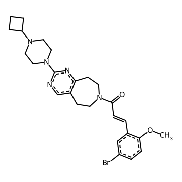 COc1ccc(Br)cc1/C=C/C(=O)N1CCc2cnc(N3CCN(C4CCC4)CC3)nc2CC1